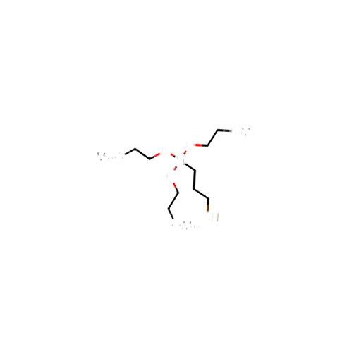 COCCO[Si](CCCS)(OCCOC)OCCOC